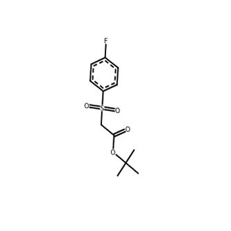 CC(C)(C)OC(=O)CS(=O)(=O)c1ccc(F)cc1